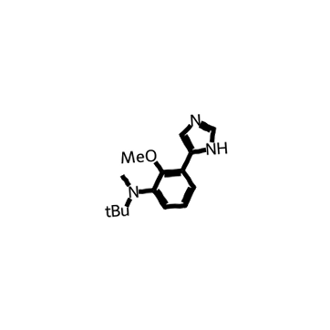 COc1c(-c2cnc[nH]2)cccc1N(C)C(C)(C)C